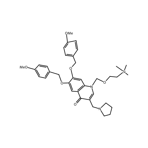 COc1ccc(COc2cc3c(=O)c(CN4CCCC4)cn(COCC[Si](C)(C)C)c3cc2OCc2ccc(OC)cc2)cc1